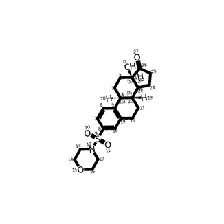 C[C@]12CC[C@@H]3c4ccc(S(=O)(=O)N5CCOCC5)cc4CC[C@H]3[C@@H]1CCC2=O